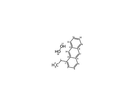 CCc1cccc2cc3ccccc3cc12.OO